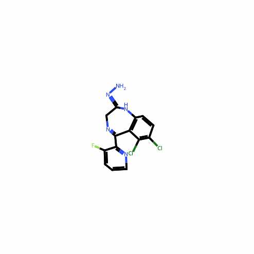 NN=C1CN=C(c2ncccc2F)c2c(ccc(Cl)c2Cl)N1